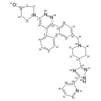 [O-][S+]1CCN(c2cc(-c3ccccc3)c(-c3ccc(CN4CCC(c5n[nH]c(-c6ccccn6)n5)CC4)cc3)nn2)CC1